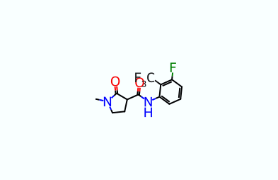 CN1CCC(C(=O)Nc2cccc(F)c2C(F)(F)F)C1=O